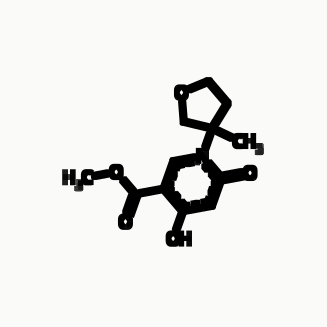 COC(=O)c1cn(C2(C)CCOC2)c(=O)cc1O